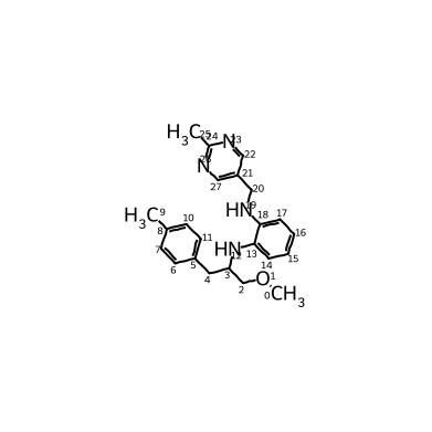 COCC(Cc1ccc(C)cc1)Nc1ccccc1NCc1cnc(C)nc1